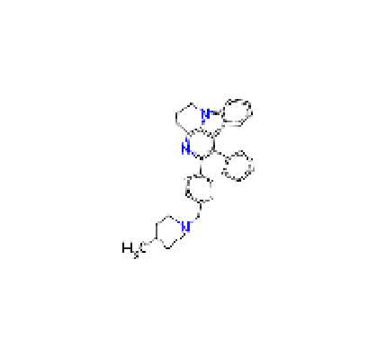 CC1CCN(Cc2ccc(-c3nc4c5c(c3-c3ccccc3)c3ccccc3n5CCC4)cc2)CC1